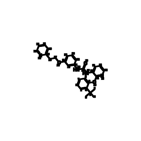 CC(C)(C)c1ccccc1Oc1ncccc1NC(=O)Nc1cccc(OCCc2ccccn2)c1